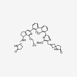 COc1nc(-c2cccc(-c3cccc(-c4cc5c(c(OCC6CC6)n4)C(NC[C@@H]4CCC(=O)N4)CC5)c3Cl)c2Cl)cnc1CN1CC2(CCC(=O)N2)C1